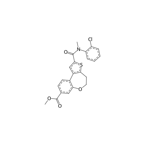 COC(=O)c1ccc2c(c1)OCCc1sc(C(=O)N(C)c3ccccc3Cl)cc1-2